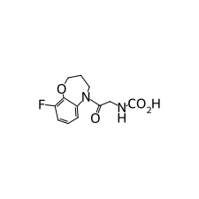 O=C(O)NCC(=O)N1CCCOc2c(F)cccc21